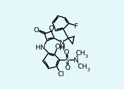 CN(C)S(=O)(=O)c1c(Cl)ccc(Nc2c(NC3(c4ccccc4F)CC3)c(=O)c2=O)c1O